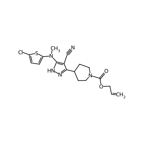 C=CCOC(=O)N1CCC(c2n[nH]c(N(C)c3ccc(Cl)s3)c2C#N)CC1